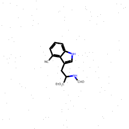 CCOC(=O)C(Cc1c[nH]c2cccc(C#N)c12)NC=O